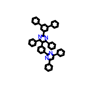 c1ccc(-c2cc(-c3ccccc3)cc(-c3nc(-c4ccccc4)c(-c4cccc(-c5nc(-c6ccccc6)cc(-c6ccccc6)n5)c4)c(-c4ccccc4)n3)c2)cc1